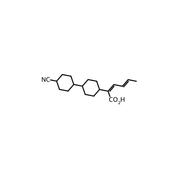 CC=CC=C(C(=O)O)C1CCC(C2CCC(C#N)CC2)CC1